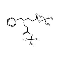 CC(C)(C)OC(=O)CCN(CCC(=O)OC(C)(C)C)Cc1ccccc1